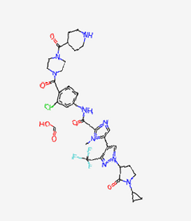 Cn1c(-c2cn(C3CCN(C4CC4)C3=O)nc2C(F)(F)F)cnc1C(=O)Nc1ccc(C(=O)N2CCN(C(=O)C3CCNCC3)CC2)c(Cl)c1.O=CO